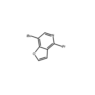 CCC(C)c1cnc(C(C)C)c2ccoc12